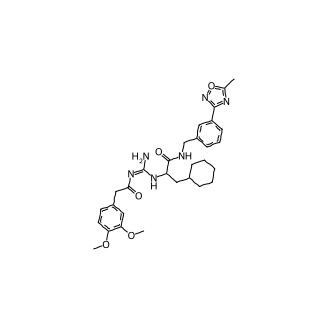 COc1ccc(CC(=O)N=C(N)NC(CC2CCCCC2)C(=O)NCc2cccc(-c3noc(C)n3)c2)cc1OC